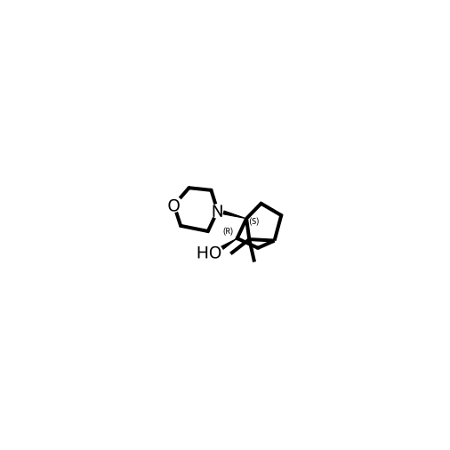 CC1(C)C2CC[C@@]1(N1CCOCC1)[C@H](O)C2